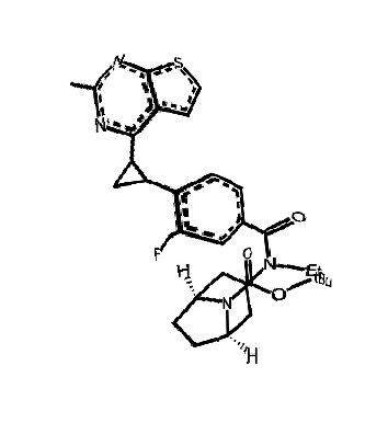 CCN(C(=O)c1ccc(C2CC2c2nc(C)nc3sccc23)c(F)c1)C1C[C@H]2CC[C@@H](C1)N2C(=O)OC(C)(C)C